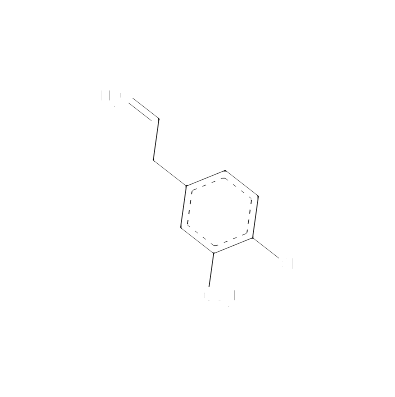 C=CCc1ccc(Cl)c(C(=O)O)c1